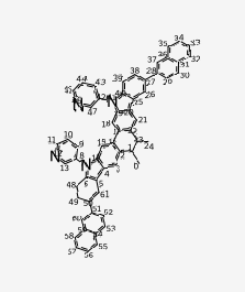 CC1c2cc3c4c(n(-c5cccnc5)c3cc2-c2cc3c(cc2C1C)c1cc(-c2ccc5ccccc5c2)ccc1n3-c1cccnc1)CCC(c1ccc2ccccc2c1)=C4